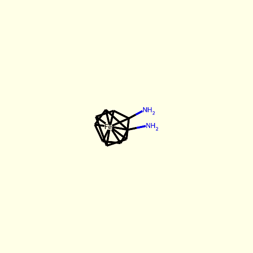 N[C]12[CH]3[CH]4[CH]5[CH]1[Fe]45321678[CH]2[CH]1[CH]6[C]7(N)[CH]28